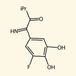 CC(C)C(=O)C(=N)c1cc(O)c(O)c(F)c1